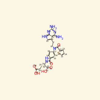 Nc1nc(N)c2c(CCN(C(=O)c3cccs3)c3ccc(C(=O)N[C@@H](CCC(=O)O)C(=O)O)cc3)c[nH]c2n1